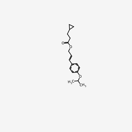 CC(C)Oc1ccc(C=CCOC(=O)CCC2CC2)cc1